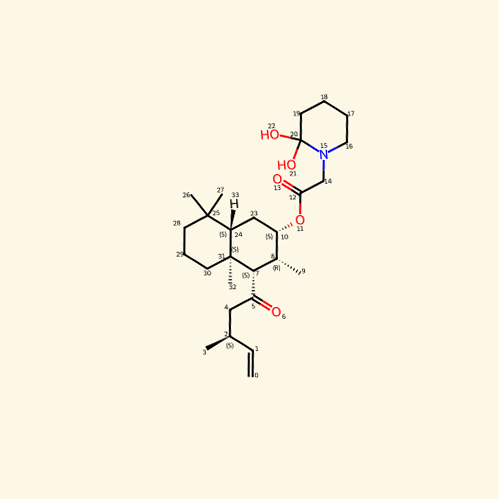 C=C[C@@H](C)CC(=O)[C@H]1[C@@H](C)[C@@H](OC(=O)CN2CCCCC2(O)O)C[C@H]2C(C)(C)CCC[C@]12C